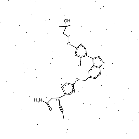 CC#C[C@@H](CC(N)=O)c1ccc(OCc2ccc3scc(-c4ccc(OCCC(C)(C)O)cc4C)c3c2)nc1